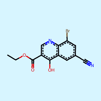 CCOC(=O)c1cnc2c(Br)cc(C#N)cc2c1O